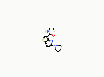 CNC(=O)c1csc2ccc(N3CC[CH]CC3)nc12